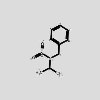 CC(C)N(Cc1ccccc1)[SH](=O)=O